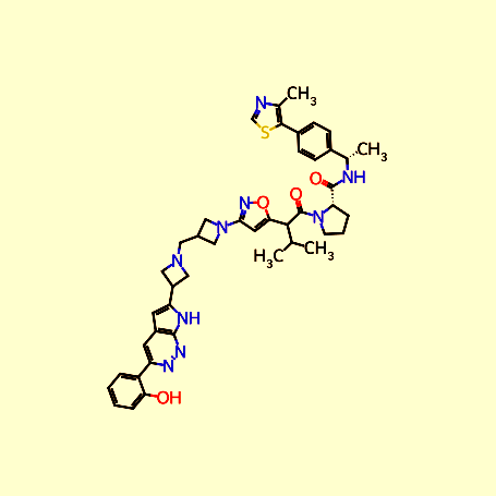 Cc1ncsc1-c1ccc([C@H](C)NC(=O)[C@@H]2CCCN2C(=O)C(c2cc(N3CC(CN4CC(c5cc6cc(-c7ccccc7O)nnc6[nH]5)C4)C3)no2)C(C)C)cc1